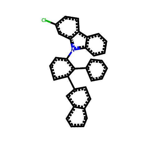 Clc1ccc2c3ccccc3n(-c3cccc(-c4ccc5ccccc5c4)c3-c3ccccc3)c2c1